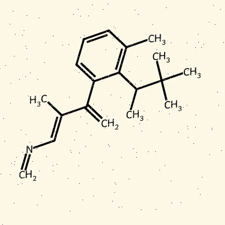 C=N/C=C(\C)C(=C)c1cccc(C)c1C(C)C(C)(C)C